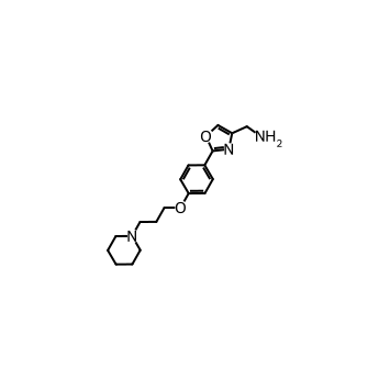 NCc1coc(-c2ccc(OCCCN3CCCCC3)cc2)n1